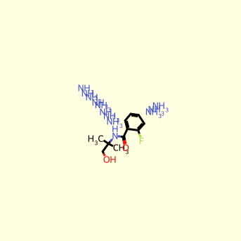 CC(C)(CO)NC(=O)c1ccccc1F.N.N.N.N.N.N.N.N.N.N.N